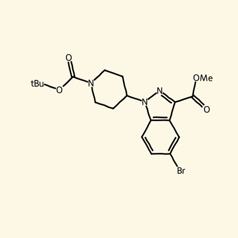 COC(=O)c1nn(C2CCN(C(=O)OC(C)(C)C)CC2)c2ccc(Br)cc12